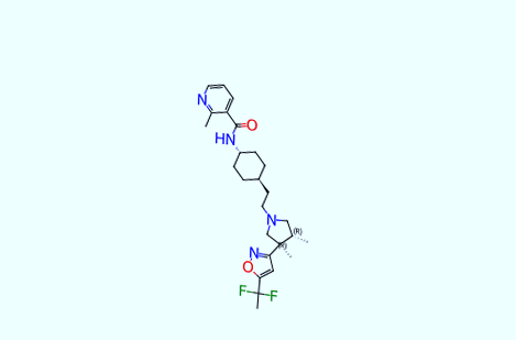 Cc1ncccc1C(=O)N[C@H]1CC[C@H](CCN2C[C@H](C)[C@@](C)(c3cc(C(C)(F)F)on3)C2)CC1